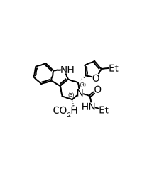 CCNC(=O)N1[C@@H](c2ccc(CC)o2)c2[nH]c3ccccc3c2C[C@H]1C(=O)O